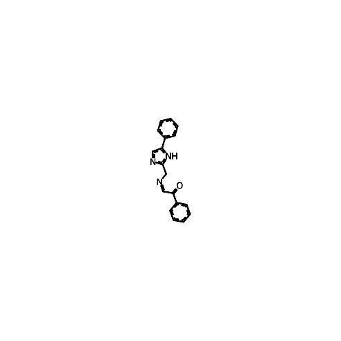 O=C(/C=N\Cc1ncc(-c2ccccc2)[nH]1)c1ccccc1